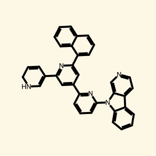 C1=CC(c2cc(-c3cccc(-n4c5ccccc5c5ccncc54)n3)cc(-c3cccc4ccccc34)n2)=CNC1